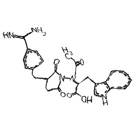 CC(=O)N([C@@H](Cc1c[nH]c2ccccc12)C(=O)O)N1C(=O)CC(Cc2ccc(C(=N)N)cc2)C1=O